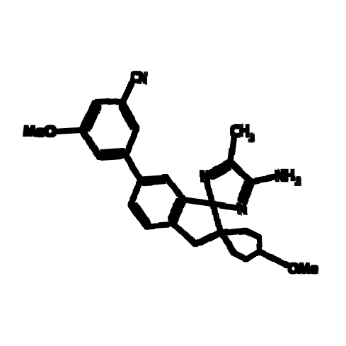 COc1cc(C#N)cc(-c2ccc3c(c2)C2(N=C(C)C(N)=N2)C2(CCC(OC)CC2)C3)c1